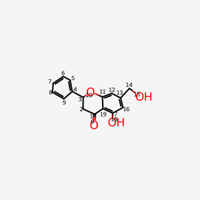 O=C1CC(c2ccccc2)Oc2cc(CO)cc(O)c21